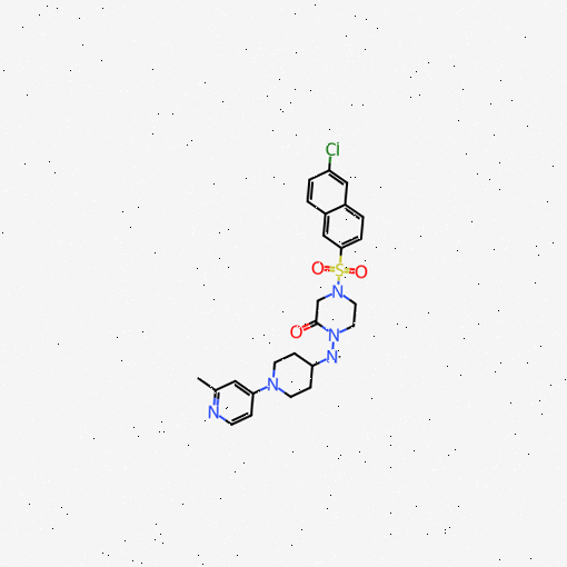 Cc1cc(N2CCC([N]N3CCN(S(=O)(=O)c4ccc5cc(Cl)ccc5c4)CC3=O)CC2)ccn1